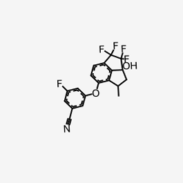 CC1CC2(O)c3c(ccc(Oc4cc(F)cc(C#N)c4)c31)C(F)(F)C2(F)F